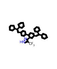 FC(F)(F)c1c[nH]nc1-c1cc(C=C(c2ccccc2)c2ccccc2)ccc1-c1ccc(C=C(c2ccccc2)c2ccccc2)cc1